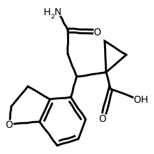 NC(=O)CC(c1cccc2c1CCO2)C1(C(=O)O)CC1